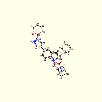 O=C(CCc1ccccc1)N1C2CCC1C(Cn1ccc3cc(-c4cnn(C5CCCCO5)c4)ccc31)C2